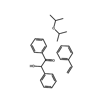 C=Cc1ccccc1.CC(C)OC(C)C.O=C(c1ccccc1)C(O)c1ccccc1